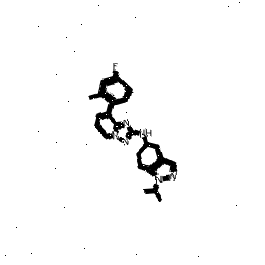 Cc1cc(F)ccc1-c1cccn2nc(NC3CCc4c(cnn4C(C)C)C3)nc12